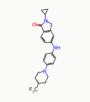 O=C1c2ccc(Nc3ccc(N4CCC(C(F)(F)F)CC4)cc3)cc2CN1C1CC1